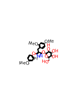 COc1ccc(Oc2c(Cc3ccc(OC)cc3OC)c(O[C@@H]3O[C@H](CO)[C@@H](O)[C@H](O)[C@H]3O)nn2C(C)C)cc1